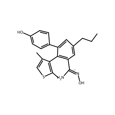 CCCc1cc(/C(N)=N/O)c(-c2c(C)csc2C)c(-c2ccc(O)cc2)c1